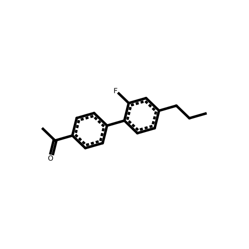 CCCc1ccc(-c2ccc(C(C)=O)cc2)c(F)c1